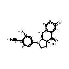 Cc1cc(N2CCC3(O)C(=O)c4cc(Cl)ccc4N=C23)ccc1C#N